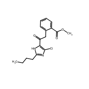 CCCCc1nc(Cl)c(C(=O)Cc2ccccc2C(=O)OC)[nH]1